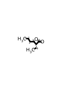 CCCC1OC(=O)[C@@H]1CC